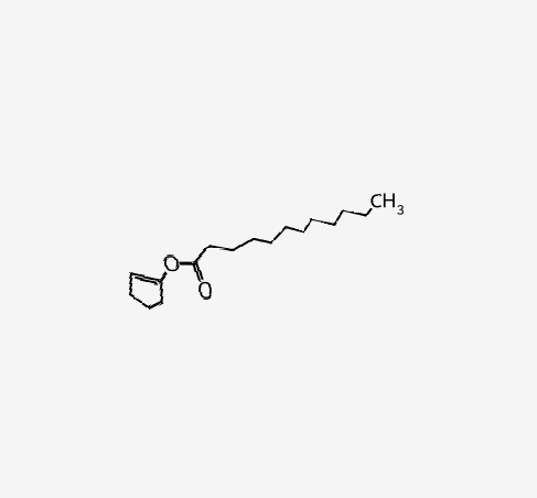 CCCCCCCCCCCC(=O)OC1=CCCC1